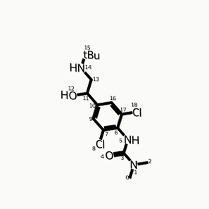 CN(C)C(=O)Nc1c(Cl)cc(C(O)CNC(C)(C)C)cc1Cl